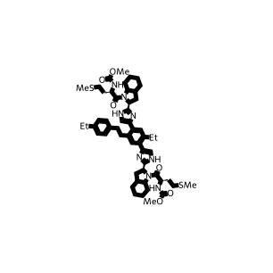 CCc1ccc(CCc2cc(-c3c[nH]c([C@@H]4CC5CCCCC5N4C(=O)[C@H](CCSC)NC(=O)OC)n3)c(CC)cc2-c2c[nH]c([C@@H]3CC4CCCCC4N3C(=O)[C@H](CCSC)NC(=O)OC)n2)cc1